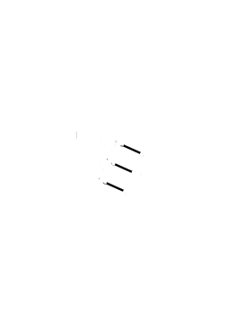 O=[N+]([O-])O.O=[N+]([O-])[O-].O=[N+]([O-])[O-].[SbH3]